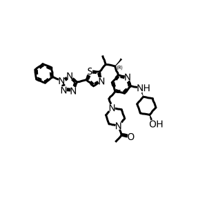 CC(=O)N1CCN(Cc2cc(N[C@H]3CC[C@H](O)CC3)nc([C@H](C)C(C)c3ncc(-c4nnn(-c5ccccc5)n4)s3)c2)CC1